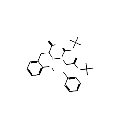 COc1ccccc1C[C@H](NN(C(=O)OC(C)(C)C)[C@@H](Cc1ccccc1)C(=O)OC(C)(C)C)C(=O)O